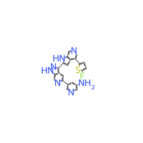 Nc1cncc(-c2cc3c(-c4cc5c(-c6ccc(F)s6)cncc5[nH]4)n[nH]c3cn2)c1